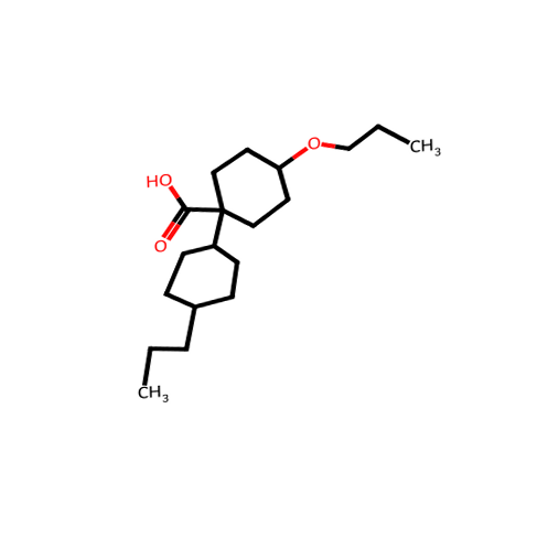 CCCOC1CCC(C(=O)O)(C2CCC(CCC)CC2)CC1